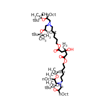 CCCCCCCCC(CN(CCCCCCOC(=O)CC(C)(O)CC(=O)OCCCCCCN(CC(CCCCCCCC)O[Si](C)(C)C(C)(C)C)CC(CCCCCCCC)O[Si](C)(C)C(C)(C)C)CC(CCCCCCCC)O[Si](C)(C)C(C)(C)C)O[Si](C)(C)C(C)(C)C